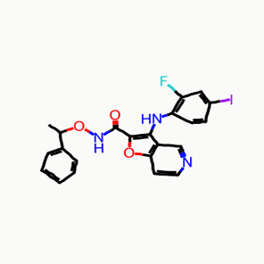 CC(ONC(=O)c1oc2ccncc2c1Nc1ccc(I)cc1F)c1ccccc1